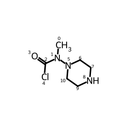 CN(C(=O)Cl)N1CCNCC1